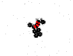 Cc1cnccc1-c1cccc(-c2cccc(-c3ccc4c(c3)C3(c5ccccc5-4)c4ccccc4-c4ccc(-c5cc(-c6ccccc6)nc(-c6ccccc6)n5)cc43)c2)c1